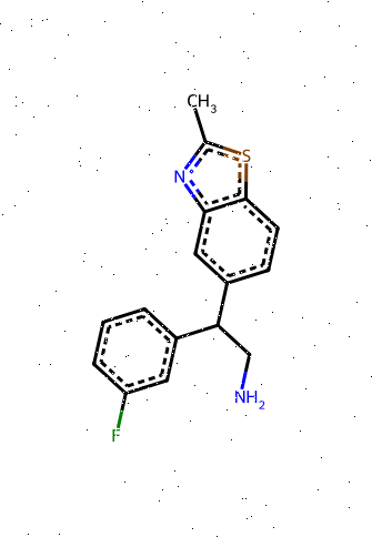 Cc1nc2cc(C(CN)c3cccc(F)c3)ccc2s1